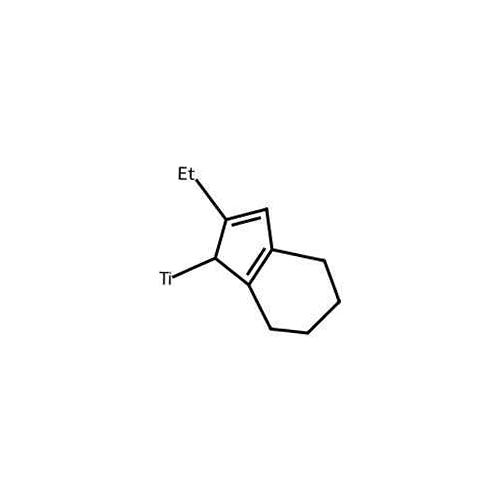 CCC1=CC2=C(CCCC2)[CH]1[Ti]